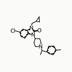 Cc1ccc(C(C)N2CCC(n3c(=O)n(CC4CC4)c4cc(Cl)ccc43)CC2)cc1